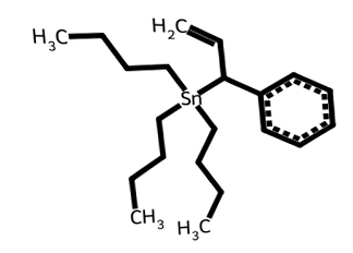 C=C[CH](c1ccccc1)[Sn]([CH2]CCC)([CH2]CCC)[CH2]CCC